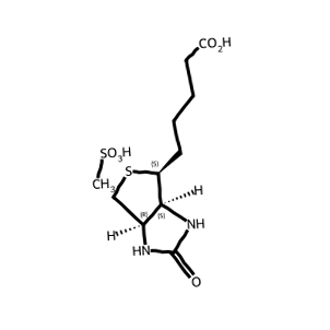 CS(=O)(=O)O.O=C(O)CCCC[C@@H]1SC[C@@H]2NC(=O)N[C@@H]21